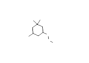 CCCCCOOC1CC(C)CC(C)(C)C1